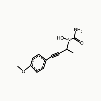 COc1ccc(C#CC(C)N(O)C(N)=O)cc1